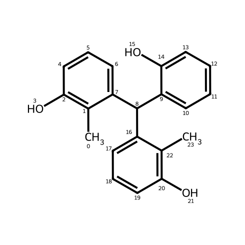 Cc1c(O)cccc1C(c1ccccc1O)c1cccc(O)c1C